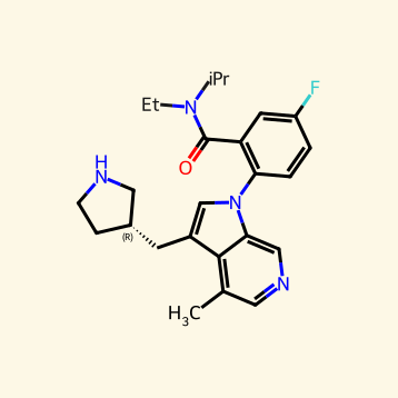 CCN(C(=O)c1cc(F)ccc1-n1cc(C[C@@H]2CCNC2)c2c(C)cncc21)C(C)C